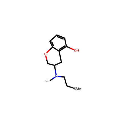 CCCN(CCSC)C1COc2cccc(O)c2C1